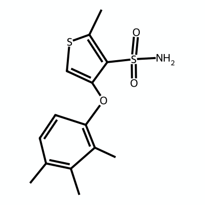 Cc1ccc(Oc2csc(C)c2S(N)(=O)=O)c(C)c1C